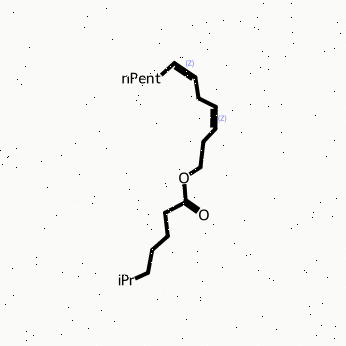 CCCCC/C=C\C/C=C\CCOC(=O)CCCCC(C)C